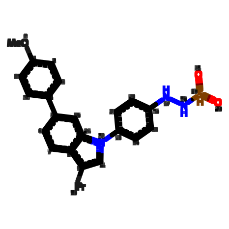 COc1ccc(-c2ccc3c(C(C)C)cn(-c4ccc(NN[SH](=O)=O)cc4)c3c2)cc1